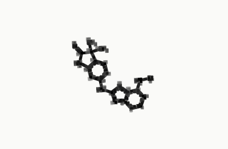 CCNc1nccn2nc(Nc3ccc4c(c3)NC(=O)C4(C)C)nc12